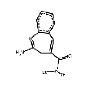 CCN(CC)C(=O)C1=Cc2ccccc2N=C(N)C1